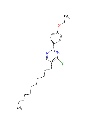 CCCCCCCCCCCc1cnc(-c2ccc(OCC)cc2)nc1F